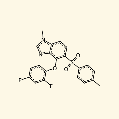 Cc1ccc(S(=O)(=O)c2ccc3c(ncn3C)c2Oc2ccc(F)cc2F)cc1